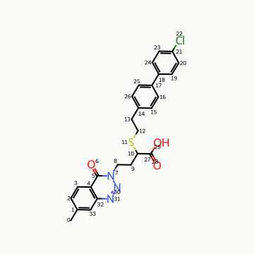 Cc1ccc2c(=O)n(CCC(SCCc3ccc(-c4ccc(Cl)cc4)cc3)C(=O)O)nnc2c1